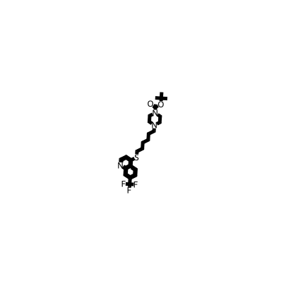 CC(C)(C)OC(=O)N1CCN(CCCCCCSc2ccnc3cc(C(F)(F)F)ccc23)CC1